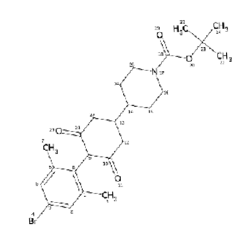 Cc1cc(Br)cc(C)c1C1C(=O)CC(C2CCN(C(=O)OC(C)(C)C)CC2)CC1=O